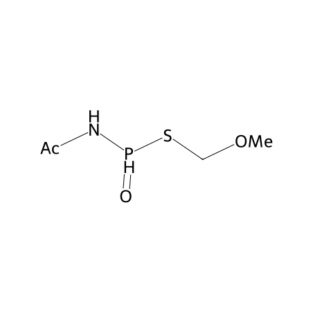 COCS[PH](=O)NC(C)=O